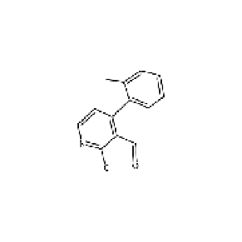 Cc1ccccc1-c1ccnc(Cl)c1C=O